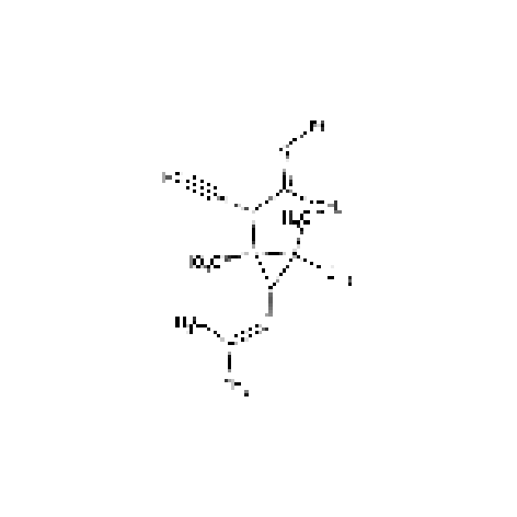 C#C[C@H](/C(C)=C/CC)[C@]1(C(=O)O)[C@@H](C=C(C)C)C1(C)C